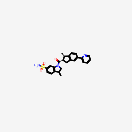 CC1CN(C(=O)[C@@H]2Cc3cc(-c4ccccn4)ccc3[C@@H]2C)c2cc(S(N)(=O)=O)ccc21